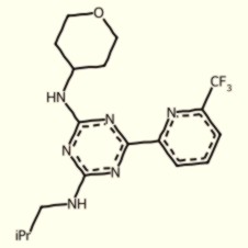 CC(C)CNc1nc(NC2CCOCC2)nc(-c2cccc(C(F)(F)F)n2)n1